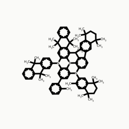 Cc1ccccc1-c1cc2c3c(c1)N(c1cc4c(cc1C)C(C)(C)CCC4(C)C)c1ccc4c5c1B3c1c(cc3c(c1C5(C)c1cc5c(cc1-4)C(C)(C)CCC5(C)C)C(C)(C)c1ccccc1C3(C)C)N2c1ccc2c(c1)C(C)(C)c1ccccc1C2(C)C